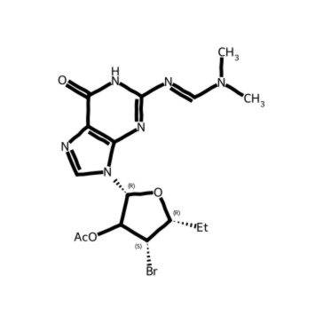 CC[C@H]1O[C@@H](n2cnc3c(=O)[nH]c(N=CN(C)C)nc32)C(OC(C)=O)[C@H]1Br